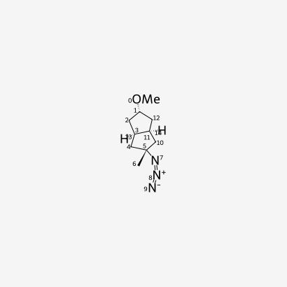 CO[C@H]1C[C@@H]2C[C@@](C)(N=[N+]=[N-])C[C@@H]2C1